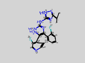 CC(C)c1n[nH]c(N/C(N)=N/C(=C(\N)c2ccncc2F)c2ccccc2F)n1